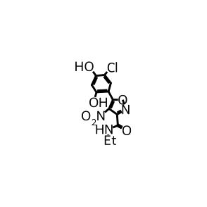 CCNC(=O)c1noc(-c2cc(Cl)c(O)cc2O)c1[N+](=O)[O-]